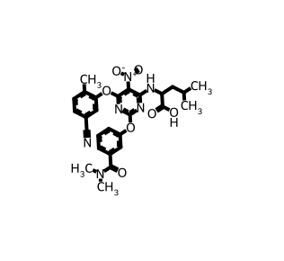 Cc1ccc(C#N)cc1Oc1nc(Oc2cccc(C(=O)N(C)C)c2)nc(NC(CC(C)C)C(=O)O)c1[N+](=O)[O-]